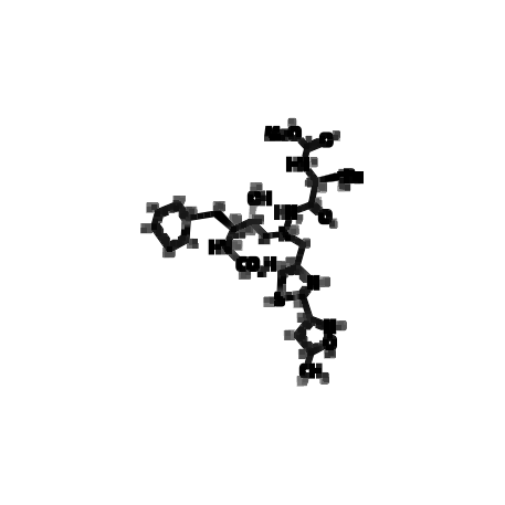 COC(=O)N[C@H](C(=O)NN(Cc1csc(-c2cc(C)on2)n1)C[C@@H](O)[C@H](Cc1ccccc1)NC(=O)O)C(C)(C)C